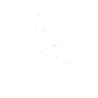 CC1(C)c2cc3c(cc2-c2c1ccc1c4ccccc4n(-c4ccc5c(c4)c4ccccc4n5-c4ccc5c(c4)c4ccccc4n5-c4ccccc4)c21)Sc1ccccc1S3